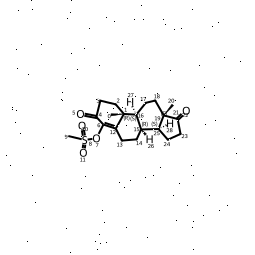 C[C@]12CCC(=O)C(OS(C)(=O)=O)=C1CC[C@@H]1[C@@H]2CC[C@]2(C)C(=O)CC[C@@H]12